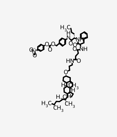 CCCC[C@H](NC(=O)C(Cc1ccccc1)NC(=O)CCC(=O)NCCCO[C@H]1CC[C@@]2(C)C(=CC[C@H]3[C@@H]4CC[C@H]([C@H](C)CCCC(C)C)[C@@]4(C)CC[C@@H]32)C1)C(=O)Nc1ccc(COC(=O)Oc2ccc([N+](=O)[O-])cc2)cc1